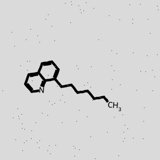 CCCCCCCc1cccc2cccnc12